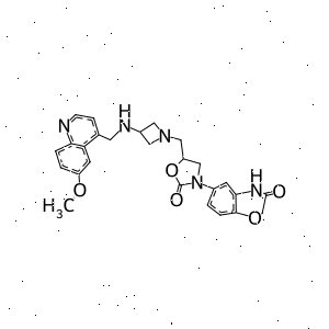 COc1ccc2nccc(CNC3CN(CC4CN(c5ccc6c(c5)NC(=O)CO6)C(=O)O4)C3)c2c1